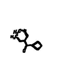 CCC(/C=N\C)C(=O)C1CCC1